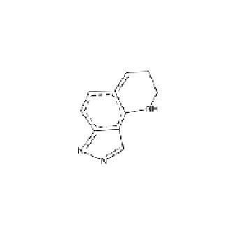 C1=NN=c2ccc3c(c21)NCCC=3